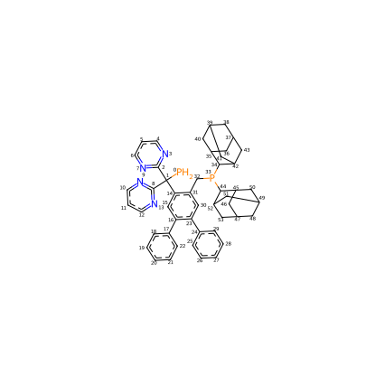 PC(c1ncccn1)(c1ncccn1)c1cc(-c2ccccc2)c(-c2ccccc2)cc1CP(C1C2CC3CC(C2)CC1C3)C1C2CC3CC(C2)CC1C3